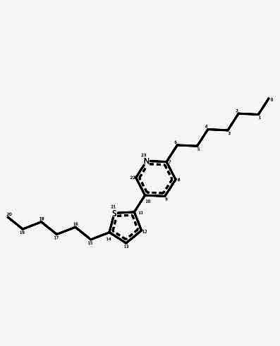 CCCCCCCc1ccc(-c2ccc(CCCCCC)s2)cn1